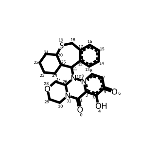 O=C1c2c(O)c(=O)ccn2N(C2c3ccccc3CSC3CCCCC32)C2COCCN12